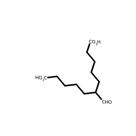 O=CC(CCCCC(=O)O)CCCCC(=O)O